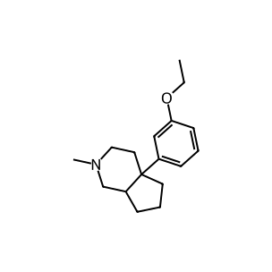 CCOc1cccc(C23CCCC2CN(C)CC3)c1